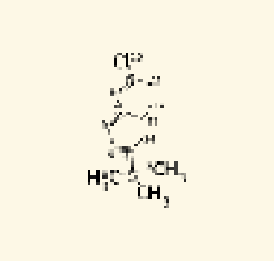 CC(C)(C)c1ccc2cc(Cl)ccc2c1